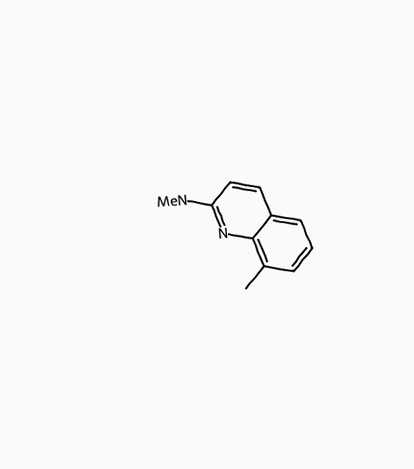 CNc1ccc2cccc(C)c2n1